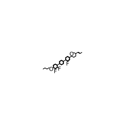 C/C=C/C1CCC(c2ccc(-c3ccc(-c4ccc(OCCCC)c(F)c4F)cc3)c(F)c2)OC1